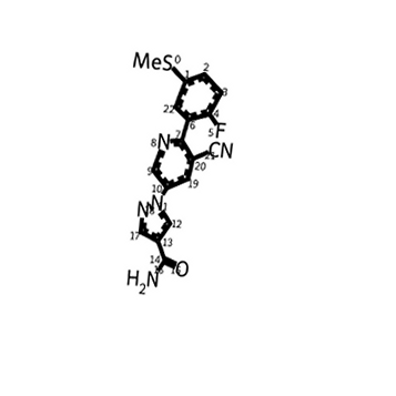 CSc1ccc(F)c(-c2ncc(-n3cc(C(N)=O)cn3)cc2C#N)c1